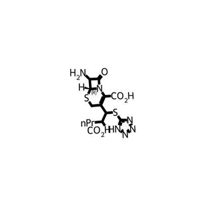 CCCC(C(=O)O)C(Sc1nnn[nH]1)C1=C(C(=O)O)N2C(=O)C(N)[C@H]2SC1